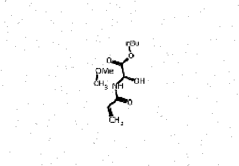 C=CC(=O)NC(O)C(=O)OCCCC.COC